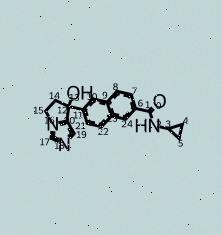 O=C(NC1CC1)c1ccc2cc(C3(O)CCn4cncc43)ccc2c1